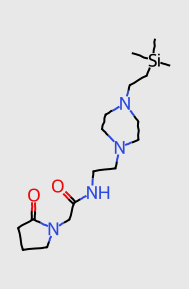 C[Si](C)(C)CCN1CCN(CCNC(=O)CN2CCCC2=O)CC1